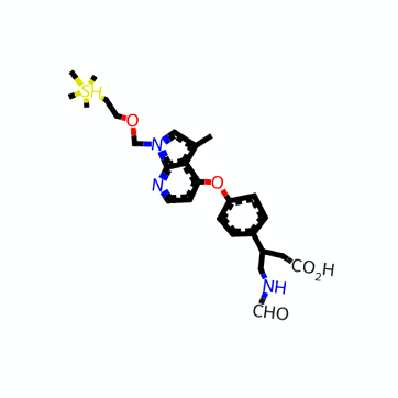 Cc1cn(COCC[SH](C)(C)(C)C)c2nccc(Oc3ccc(C(CNC=O)CC(=O)O)cc3)c12